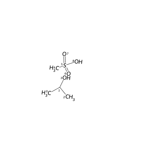 CC(C)O.CS(=O)(=O)O